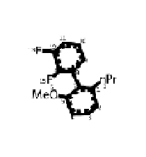 CCCc1cccc(OC)c1-c1cccc(F)c1F